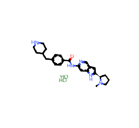 CN1CCC[C@@H]1c1cc2cnc(NC(=O)c3ccc(CC4CCNCC4)cc3)cc2[nH]1.Cl.Cl